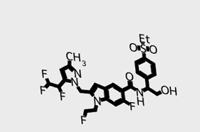 CCS(=O)(=O)c1ccc(C(CO)NC(=O)c2cc3cc(Cn4nc(C)cc4C(F)C(F)F)n(CCF)c3cc2F)cc1